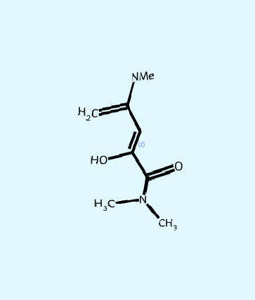 C=C(/C=C(\O)C(=O)N(C)C)NC